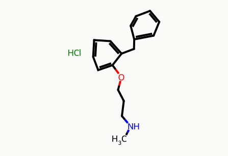 CNCCCOc1ccccc1Cc1ccccc1.Cl